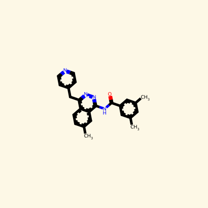 Cc1cc(C)cc(C(=O)Nc2nnc(Cc3ccncc3)c3ccc(C)cc23)c1